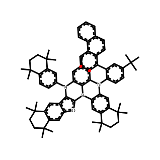 Cc1cc2c3c(c1)N(c1ccc4c(c1)C(C)(C)CCC4(C)C)c1c(oc4cc5c(cc14)C(C)(C)CCC5(C)C)B3c1cc3c(cc1N2c1ccc(C(C)(C)C)cc1-c1cccc2c1ccc1ccccc12)C(C)(C)CCC3(C)C